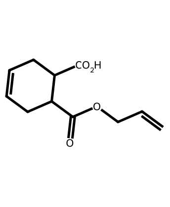 C=CCOC(=O)C1CC=CCC1C(=O)O